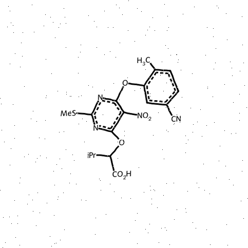 CSc1nc(Oc2cc(C#N)ccc2C)c([N+](=O)[O-])c(OC(C(=O)O)C(C)C)n1